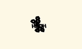 O=C(CN[C@@H](c1ccccc1)[C@H](O)c1ccccc1)N1CCc2ccccc2C1C1CCCCC1